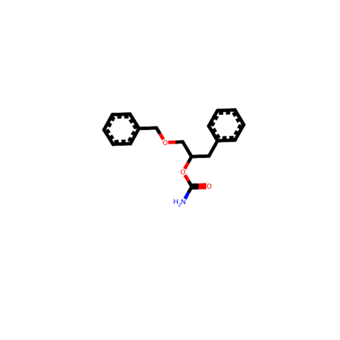 NC(=O)OC(COCc1ccccc1)Cc1ccccc1